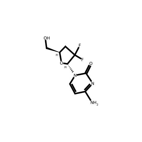 Nc1ccn([C@@H]2O[C@@H](CO)[CH]C2(F)F)c(=O)n1